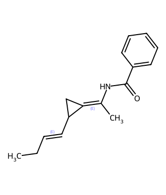 CC/C=C/C1C/C1=C(/C)NC(=O)c1ccccc1